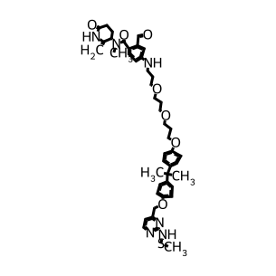 C=C1NC(=O)CCC1N(C)C(=O)c1ccc(NCCCOCCCOCCCOc2ccc(C(C)(C)c3ccc(OCc4ccnc(NSC)n4)cc3)cc2)cc1C=O